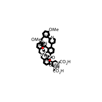 COc1ccc(CN(Cc2ccc(OC)cc2)S(=O)(=O)c2c(S(=O)(=O)NC(CNC(=O)O)CNC(=O)O)ccc(-c3ccnc(Cl)c3)c2-c2nnn(Cc3ccc(OC)cc3)n2)cc1